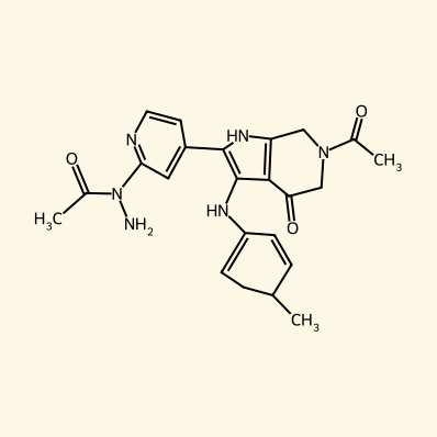 CC(=O)N1CC(=O)c2c([nH]c(-c3ccnc(N(N)C(C)=O)c3)c2NC2=CCC(C)C=C2)C1